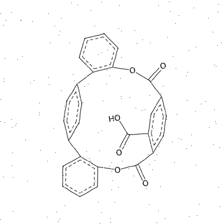 O=C1Oc2ccccc2-c2ccc(cc2)-c2ccccc2OC(=O)c2ccc1cc2C(=O)O